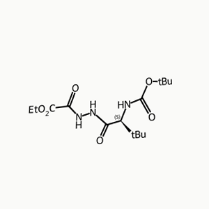 CCOC(=O)C(=O)NNC(=O)[C@@H](NC(=O)OC(C)(C)C)C(C)(C)C